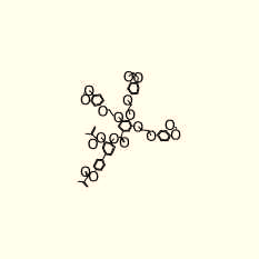 C=C(C)C(=O)Oc1ccc(-c2ccc(OC(=O)c3cc(OCCOc4ccc5c(c4)OCO5)c(OCCOc4ccc5c(c4)OCO5)c(OCCOc4ccc5c(c4)OCO5)c3)c(OC(=O)C(=C)C)c2)cc1